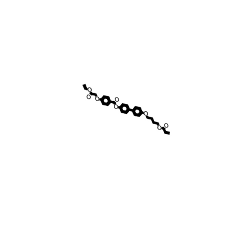 C=COC(=O)COc1ccc(C(=O)Oc2ccc(-c3ccc(OCCCCOC(=O)C=C)cc3)cc2)cc1